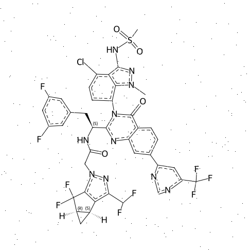 Cn1nc(NS(C)(=O)=O)c2c(Cl)ccc(-n3c([C@H](Cc4cc(F)cc(F)c4)NC(=O)Cn4nc(C(F)F)c5c4C(F)(F)[C@@H]4C[C@H]54)nc4cc(-c5cc(C(F)(F)F)ncn5)ccc4c3=O)c21